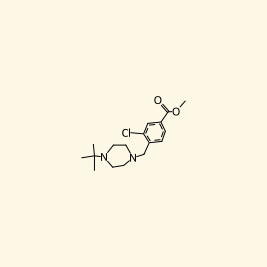 COC(=O)c1ccc(CN2CCN(C(C)(C)C)CC2)c(Cl)c1